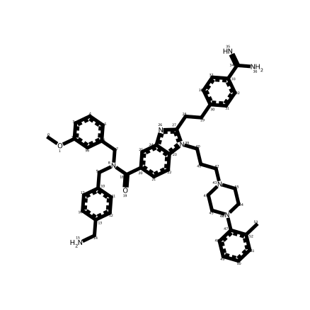 COc1cccc(CN(Cc2ccc(CN)cc2)C(=O)c2ccc3c(c2)nc(CCc2ccc(C(=N)N)cc2)n3CCCN2CCN(c3ccccc3C)CC2)c1